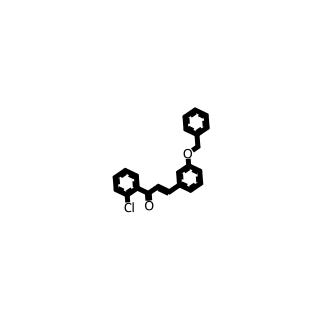 O=C(C=Cc1cccc(OCc2ccccc2)c1)c1ccccc1Cl